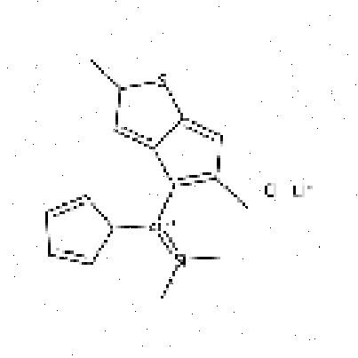 CC1=[C]([Zr+2]([CH]2C=CC=C2)=[Si](C)C)C2=CC(C)SC2=C1.[Cl-].[Cl-]